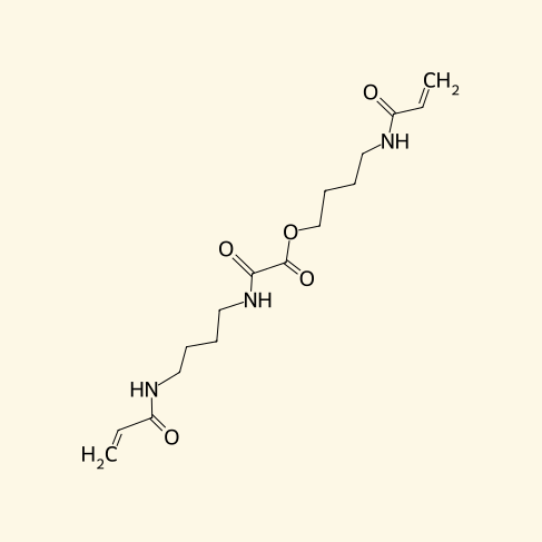 C=CC(=O)NCCCCNC(=O)C(=O)OCCCCNC(=O)C=C